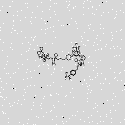 COC(=O)CNS(=O)(=O)CCNC(=O)CCCC1CCN(c2cc(N3CCC[C@H]3C(=O)NCCc3ccc(C(F)(F)F)cc3)nc(C(F)(F)F)n2)CC1